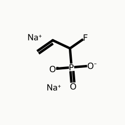 C=CC(F)P(=O)([O-])[O-].[Na+].[Na+]